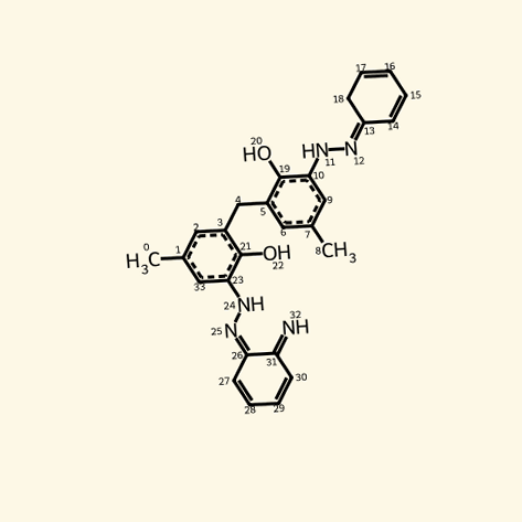 Cc1cc(Cc2cc(C)cc(N/N=C3/C=CC=CC3)c2O)c(O)c(N/N=C2/C=CC=CC2=N)c1